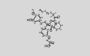 C=CCOCC(C)(C)C(=O)C(=O)N1CCCC[C@H]1C(=O)O[C@H](CCc1ccc(OC)c(O)c1)c1cccc(OCC(=O)O)c1